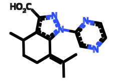 CC(C)=C1CCC(C)c2c(C(=O)O)nn(-c3cnccn3)c21